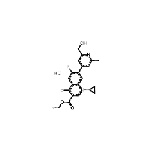 CCOC(=O)c1cn(C2CC2)c2cc(-c3cc(C)nc(CO)c3)c(F)cc2c1=O.Cl